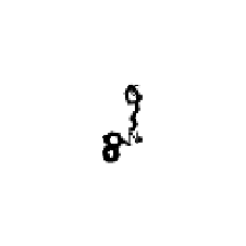 CN(C/C=C/C=C1CCCCC1)Cc1cccc2ccccc12